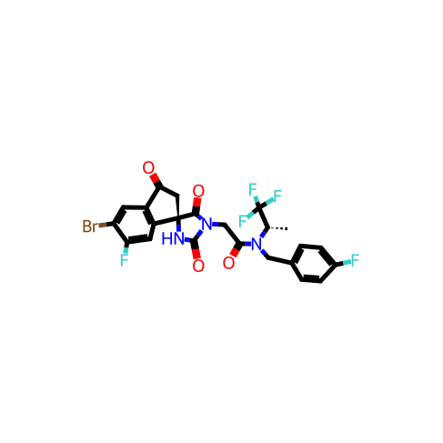 C[C@H](N(Cc1ccc(F)cc1)C(=O)CN1C(=O)N[C@@]2(CC(=O)c3cc(Br)c(F)cc32)C1=O)C(F)(F)F